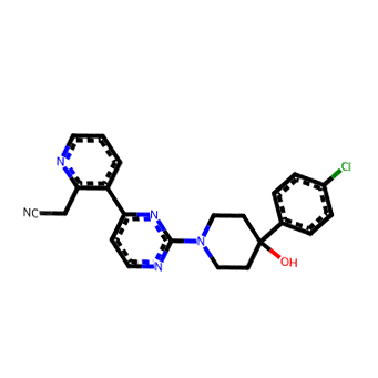 N#CCc1ncccc1-c1ccnc(N2CCC(O)(c3ccc(Cl)cc3)CC2)n1